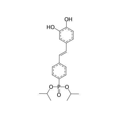 CC(C)OP(=O)(OC(C)C)c1ccc(/C=C/c2ccc(O)c(O)c2)cc1